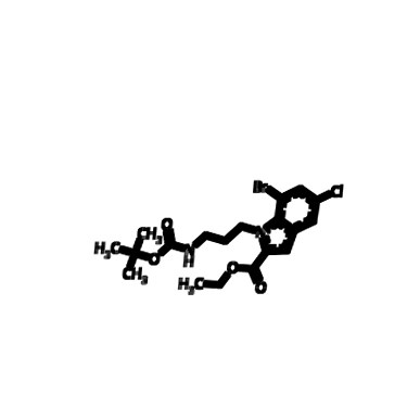 CCOC(=O)c1cc2cc(Cl)cc(Br)c2n1CCCNC(=O)OC(C)(C)C